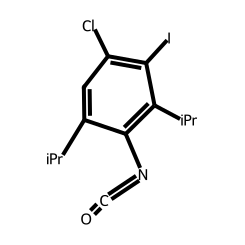 CC(C)c1cc(Cl)c(I)c(C(C)C)c1N=C=O